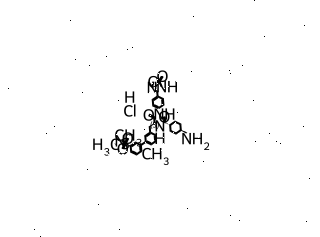 Cc1ccc(S(=O)(=O)N(C)C)cc1-c1cccc(C[C@H](NC(=O)[C@H]2CC[C@H](CN)CC2)C(=O)Nc2ccc(-c3noc(=O)[nH]3)cc2)c1.Cl